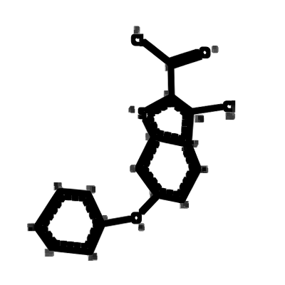 O=C(Cl)c1sc2cc(Oc3ccccc3)ccc2c1Cl